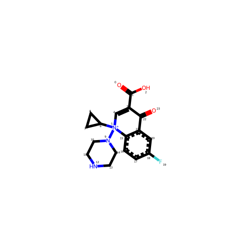 O=C(O)C1=C[N+](C2CC2)(N2CCNCC2)c2ccc(F)cc2C1=O